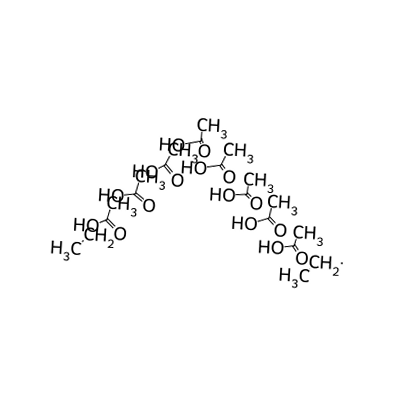 CC(=O)O.CC(=O)O.CC(=O)O.CC(=O)O.CC(=O)O.CC(=O)O.CC(=O)O.CC(=O)O.[CH2]C.[CH2]C